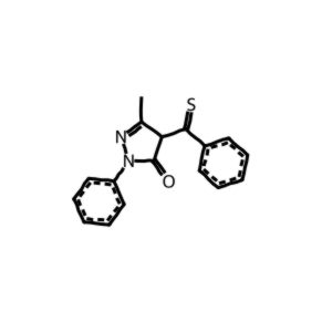 CC1=NN(c2ccccc2)C(=O)C1C(=S)c1ccccc1